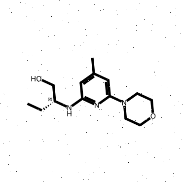 CC[C@H](CO)Nc1cc(C)cc(N2CCOCC2)n1